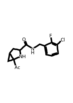 CC(=O)C12CC1CC(C(=O)NCc1cccc(Cl)c1F)N2